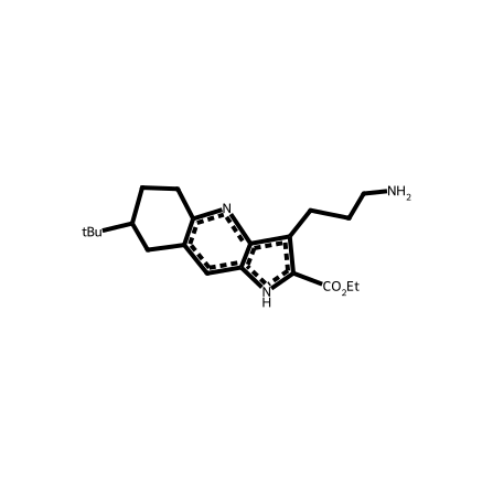 CCOC(=O)c1[nH]c2cc3c(nc2c1CCCN)CCC(C(C)(C)C)C3